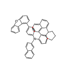 c1ccc(N(c2ccc(-c3cccc4oc5ccccc5c34)cc2)c2ccc3ccccc3c2)c(-c2cccc3cccc(C4CCCCC4)c23)c1